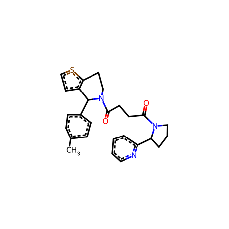 Cc1ccc(C2c3ccsc3CCN2C(=O)CCC(=O)N2CCCC2c2ccccn2)cc1